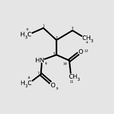 CCC(CC)C(NC(C)=O)C(C)=O